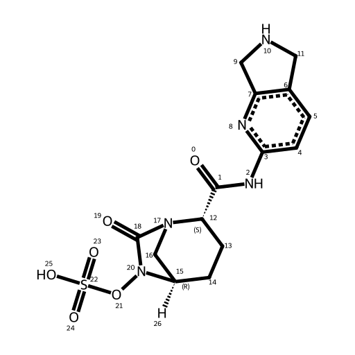 O=C(Nc1ccc2c(n1)CNC2)[C@@H]1CC[C@@H]2CN1C(=O)N2OS(=O)(=O)O